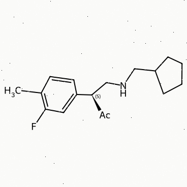 CC(=O)[C@H](CNCC1CCCC1)c1ccc(C)c(F)c1